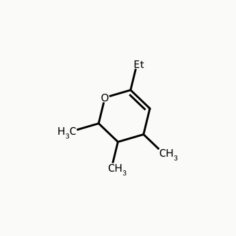 CCC1=CC(C)C(C)C(C)O1